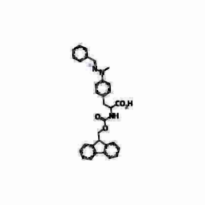 CN(/N=C/c1ccccc1)c1ccc(CC(NC(=O)OCC2c3ccccc3-c3ccccc32)C(=O)O)cc1